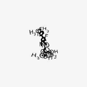 CN(C)c1ccc(-c2cc3ncn(CCC(C)(C(=O)NO)S(C)(=O)=O)c(=O)c3cc2F)cn1